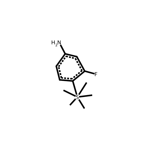 CS(C)(C)(C)(C)c1ccc(N)cc1F